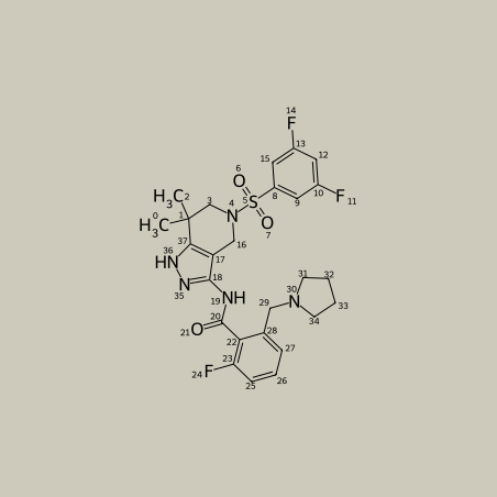 CC1(C)CN(S(=O)(=O)c2cc(F)cc(F)c2)Cc2c(NC(=O)c3c(F)cccc3CN3CCCC3)n[nH]c21